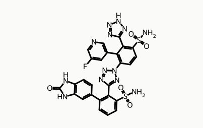 NS(=O)(=O)c1cccc(-c2ccc3[nH]c(=O)[nH]c3c2)c1-c1nnn(-c2ccc(S(N)(=O)=O)c(-c3nn[nH]n3)c2-c2cncc(F)c2)n1